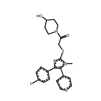 Cn1c(SCC(=O)N2CCC(O)CC2)nc(-c2ccc(F)cc2)c1-c1ccncc1